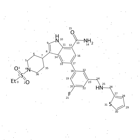 CCS(=O)(=O)N1CCC(c2c[nH]c3c(C(N)=O)cc(-c4cc(F)cc(CNCc5cccs5)c4)cc23)CC1